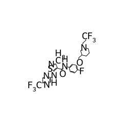 Cc1nsc(Nc2cnc(C(F)(F)F)cn2)c1C(=O)Nc1ccc(F)c(OCC2CCCN(CCC(F)(F)F)C2)c1